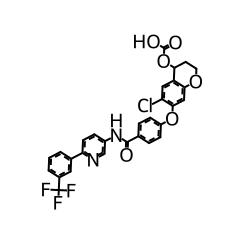 O=C(O)OC1CCOc2cc(Oc3ccc(C(=O)Nc4ccc(-c5cccc(C(F)(F)F)c5)nc4)cc3)c(Cl)cc21